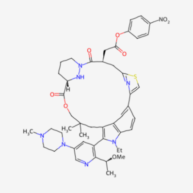 CCn1c(-c2cc(N3CCN(C)CC3)cnc2[C@H](C)OC)c2c3cc(ccc31)-c1csc(n1)C[C@H](CC(=O)Oc1ccc([N+](=O)[O-])cc1)C(=O)N1CCC[C@H](N1)C(=O)OCC(C)(C)C2